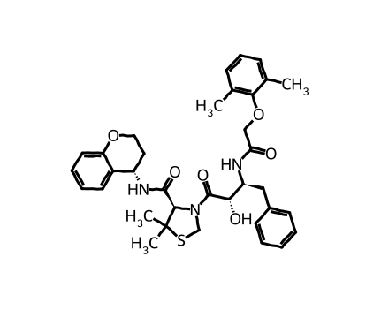 Cc1cccc(C)c1OCC(=O)N[C@@H](Cc1ccccc1)[C@H](O)C(=O)N1CSC(C)(C)[C@H]1C(=O)N[C@H]1CCOc2ccccc21